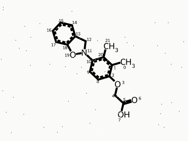 Cc1c(OCC(=O)O)ccc(N2Cc3ccccc3O2)c1C